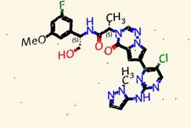 COc1cc(F)cc([C@@H](CO)NC(=O)[C@H](C)n2cnn3cc(-c4nc(Nc5ccnn5C)ncc4Cl)cc3c2=O)c1